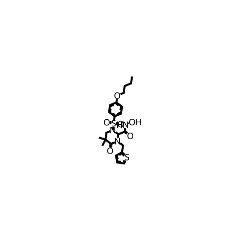 CCCCOc1ccc(S(=O)(=O)N2CC(C)(C)C(=O)N(Cc3cccs3)C2C(=O)NO)cc1